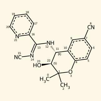 CC1(C)Oc2ccc(C#N)cc2[C@@H](NC(=NC#N)c2ccccn2)[C@@H]1O